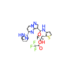 O=C(Nc1ccsc1C(F)(F)F)c1cnn2ccc(N3CC4CCC3CN4)nc12.O=C(O)C(F)(F)F